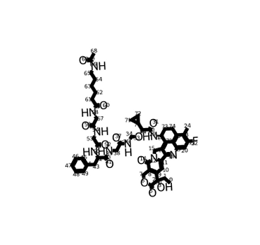 CC[C@@]1(O)C(=O)OCc2c1cc1n(c2=O)Cc2c-1nc1cc(F)c(C)c3c1c2[C@@H](NC(=O)[C@H](OCNC(=O)CNC(=O)C(Cc1ccccc1)NC(=O)CNC(=O)CNC(=O)CCCCCNC(C)=O)C1CC1)CC3